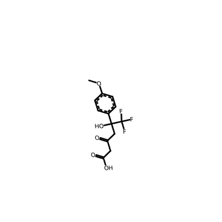 COc1ccc(C(O)(CC(=O)CC(=O)O)C(F)(F)F)cc1